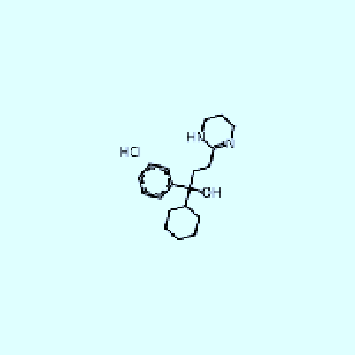 Cl.OC(CCC1=NCCCN1)(c1ccccc1)C1CCCCC1